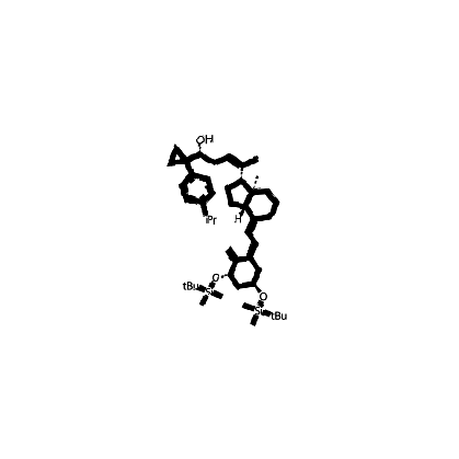 C=C1/C(=C\C=C2/CCC[C@]3(C)[C@@H](/C(C)=C\C[C@@H](O)C4(c5ccc(C(C)C)cc5)CC4)CC[C@@H]23)C[C@@H](O[Si](C)(C)C(C)(C)C)C[C@@H]1O[Si](C)(C)C(C)(C)C